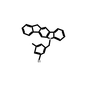 CCc1cc(C)cc(Cn2c3ccccc3c3cc4c(cc32)-c2ccccc2C4)c1